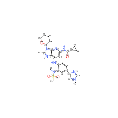 Cc1nc2c(Nc3ccc(-c4cn(C)cn4)cc3N(C)S(C)(=O)=O)cc(NC(=O)C3CC3)nc2n1C1CCCCO1